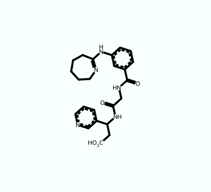 O=C(O)CC(NC(=O)CNC(=O)c1cccc(NC2=NCCCCC2)c1)c1cccnc1